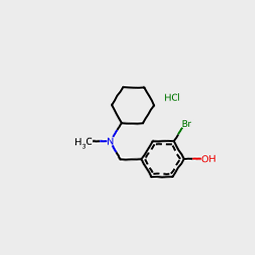 CN(Cc1ccc(O)c(Br)c1)C1CCCCC1.Cl